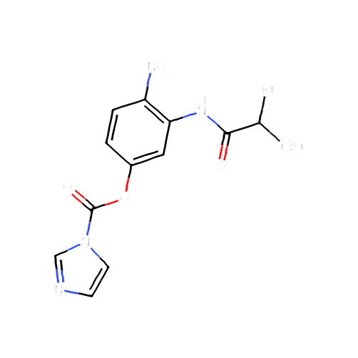 CCCCC(CC)C(=O)Nc1cc(OC(=O)n2ccnc2)ccc1N